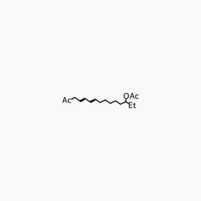 CCC(CCCCCC=CC=CCC(C)=O)OC(C)=O